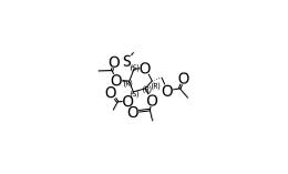 CS[C@@H]1O[C@H](COC(C)=O)[C@@H](OC(C)=O)[C@H](OC(C)=O)[C@H]1OC(C)=O